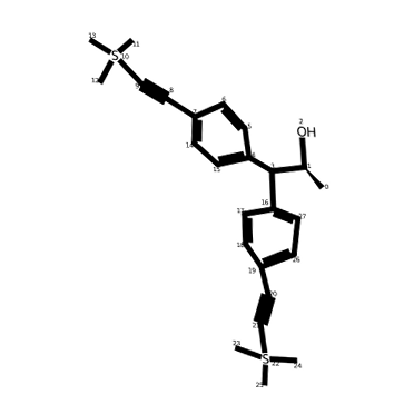 C[C@H](O)C(c1ccc(C#CS(C)(C)C)cc1)c1ccc(C#CS(C)(C)C)cc1